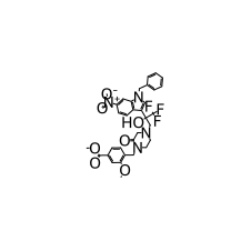 COC(=O)c1ccc(CN2CCN(CC(O)(c3cn(Cc4ccccc4)c4cc([N+](=O)[O-])ccc34)C(F)(F)F)CC2=O)c(OC)c1